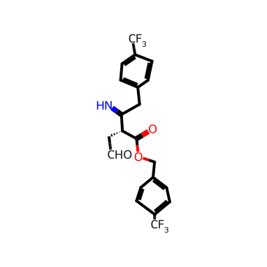 N=C(Cc1ccc(C(F)(F)F)cc1)[C@@H](CC=O)C(=O)OCc1ccc(C(F)(F)F)cc1